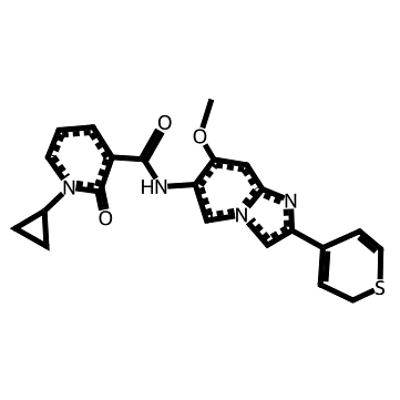 COc1cc2nc(C3=CCSC=C3)cn2cc1NC(=O)c1cccn(C2CC2)c1=O